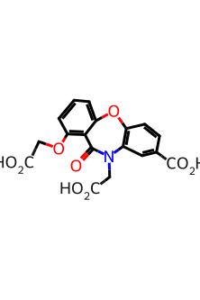 O=C(O)COc1cccc2c1C(=O)N(CC(=O)O)c1cc(C(=O)O)ccc1O2